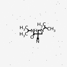 CC(C)NC(=O)C1(C#N)CN(C(C)C)C1